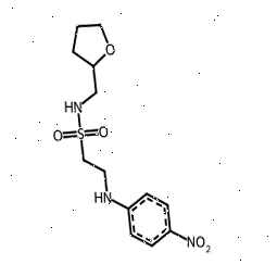 O=[N+]([O-])c1ccc(NCCS(=O)(=O)NCC2CCCO2)cc1